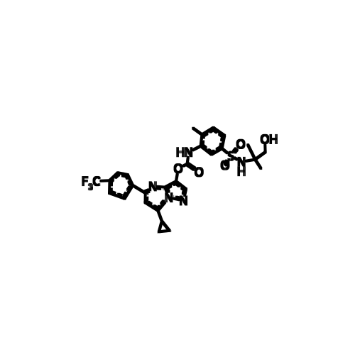 Cc1ccc(S(=O)(=O)NC(C)(C)CO)cc1NC(=O)Oc1cnn2c(C3CC3)cc(-c3ccc(C(F)(F)F)cc3)nc12